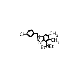 CCN(CC)c1c(C)c(C)cc2c1ncn2Cc1ccc(Cl)cc1